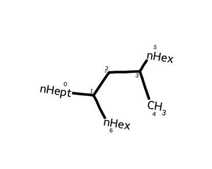 CCCCCCCC([CH]C(C)CCCCCC)CCCCCC